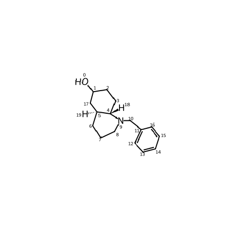 OC1CC[C@H]2[C@@H](CCCN2Cc2ccccc2)C1